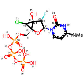 CNc1ccn([C@@H]2O[C@@]3(COP(=O)(O)OP(=O)(O)OP(=O)(O)O)C(Cl)[C@]3(O)[C@H]2F)c(=O)n1